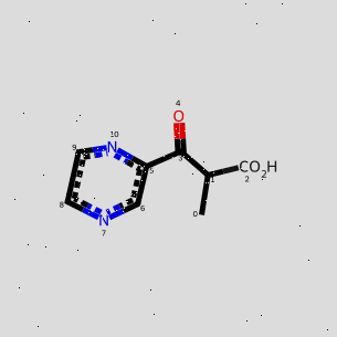 CC(C(=O)O)C(=O)c1cnccn1